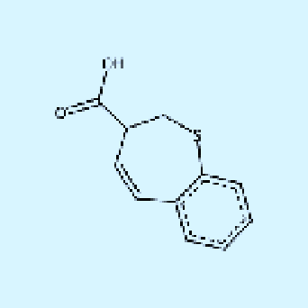 O=C(O)C1C=Cc2ccccc2SC1